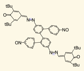 CC(C)(C)C1=CC(=C/N=N/c2ccc(-c3ccc(/N=N/C=C4C=C(C(C)(C)C)C(=O)C(C(C)(C)C)=C4)cc3-c3ccc(N=O)cc3)c(-c3ccc(N=O)cc3)c2)C=C(C(C)(C)C)C1=O